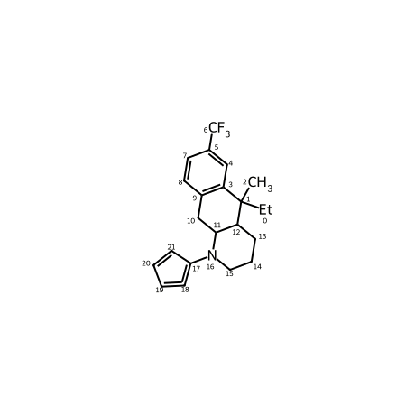 CCC1(C)c2cc(C(F)(F)F)ccc2CC2C1CCCN2C1=C=CC=C1